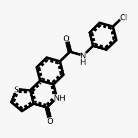 O=C(Nc1ccc(Cl)cc1)c1ccc2c(c1)[nH]c(=O)c1ccsc12